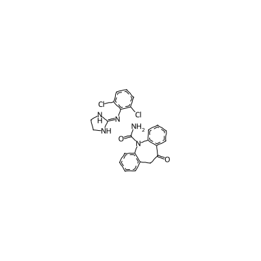 Clc1cccc(Cl)c1N=C1NCCN1.NC(=O)N1c2ccccc2CC(=O)c2ccccc21